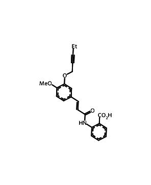 CCC#CCOc1cc(C=CC(=O)Nc2ccccc2C(=O)O)ccc1OC